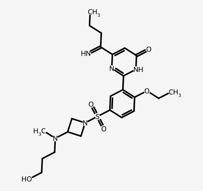 CCCC(=N)c1cc(=O)[nH]c(-c2cc(S(=O)(=O)N3CC(N(C)CCCO)C3)ccc2OCC)n1